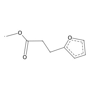 [CH2]OC(=O)CCc1ccco1